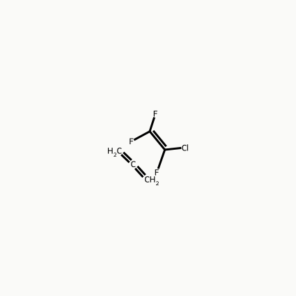 C=C=C.FC(F)=C(F)Cl